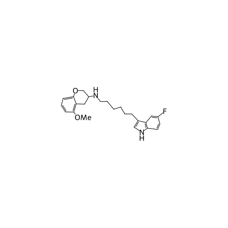 COc1cccc2c1CC(NCCCCCCc1c[nH]c3ccc(F)cc13)CO2